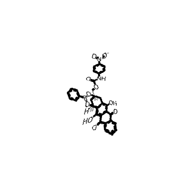 O=C(Nc1ccc([N+](=O)[O-])cc1)OC[C@]12Cc3c(O)c4c(c(O)c3[C@H](C1)OB(c1ccccc1)O2)C(=O)c1ccccc1C4=O